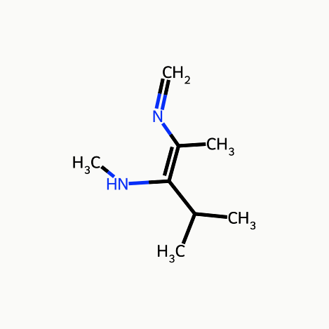 C=N/C(C)=C(\NC)C(C)C